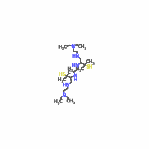 CCN(CC)CCNCC(NCCNC(CNCCN(CC)CC)C(C)(C)S)C(C)(C)S